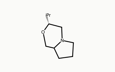 CC(C)[C@@H]1CN2CCCC2CO1